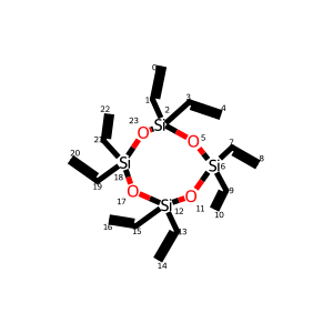 C=C[Si]1(C=C)O[Si](C=C)(C=C)O[Si](C=C)(C=C)O[Si](C=C)(C=C)O1